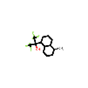 C[C@H]1CCCC2C1CCCC2C(O)(C(F)(F)F)C(F)(F)F